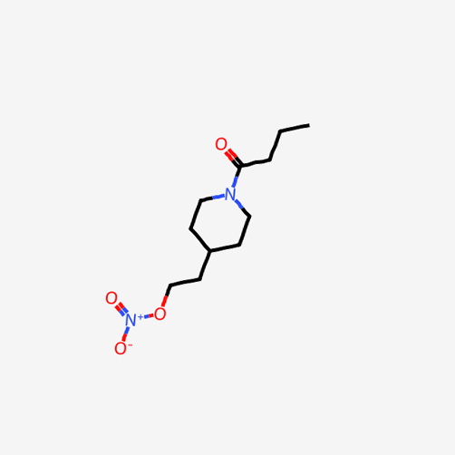 CCCC(=O)N1CCC(CCO[N+](=O)[O-])CC1